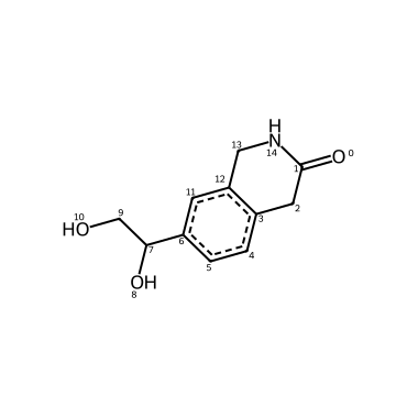 O=C1Cc2ccc(C(O)CO)cc2CN1